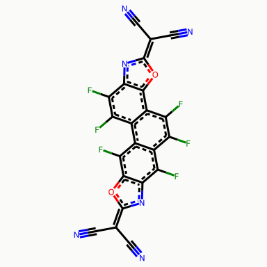 N#CC(C#N)=c1nc2c(F)c3c(F)c(F)c4c5oc(=C(C#N)C#N)nc5c(F)c(F)c4c3c(F)c2o1